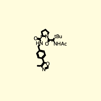 CC(=O)N[C@@H](C(=O)N1CCC[C@@H]1C(=O)NCc1ccc(-c2ocnc2C)cc1)C(C)(C)C